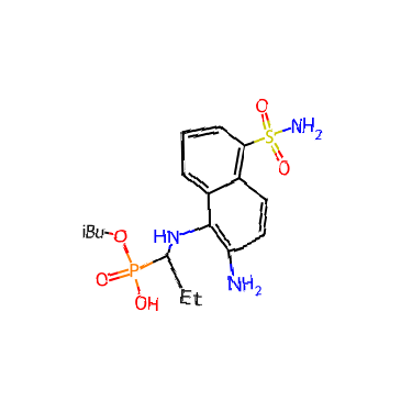 CCC(C)OP(=O)(O)C(CC)Nc1c(N)ccc2c(S(N)(=O)=O)cccc12